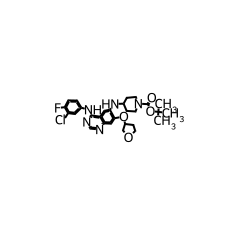 CC(C)(C)OC(=O)N1CCC(Nc2cc3c(Nc4ccc(F)c(Cl)c4)ncnc3cc2OC2CCOC2)CC1